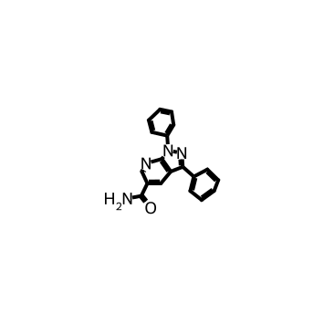 NC(=O)c1cnc2c(c1)c(-c1ccccc1)nn2-c1ccccc1